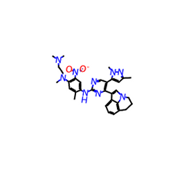 Cc1cc(-c2cnc(Nc3cc([N+](=O)[O-])c(N(C)CCN(C)C)cc3C)nc2-c2cn3c4c(cccc24)CCC3)n(C)n1